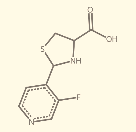 O=C(O)C1CSC(c2ccncc2F)N1